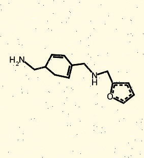 NCC1C=CC(CNCc2ccco2)=CC1